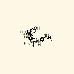 CC(NC(=O)CC(=O)Nc1ccc(C(=N)N)cc1)c1ccc(S(=O)(=O)N2CC(CC(=O)O)OCC2(C)C)c(Br)c1